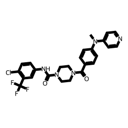 CN(c1ccncc1)c1ccc(C(=O)N2CCN(C(=O)Nc3ccc(Cl)c(C(F)(F)F)c3)CC2)cc1